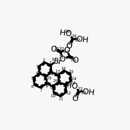 Brc1ccc2cccc3c4cccc5cccc(c1c23)c54.O=C(O)O.O=C(O)O.O=C1OC(=O)O1